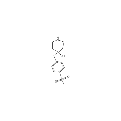 CS(=O)(=O)c1ccc(CC2(O)CCNCC2)cc1